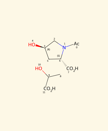 CC(=O)N1C[C@H](O)C[C@H]1C(=O)O.CC(O)C(=O)O